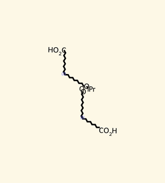 CC(C)OC(CCCCCCC/C=C\CCCCCCCC(=O)O)OOCCCCCCCC/C=C\CCCCCCCC(=O)O